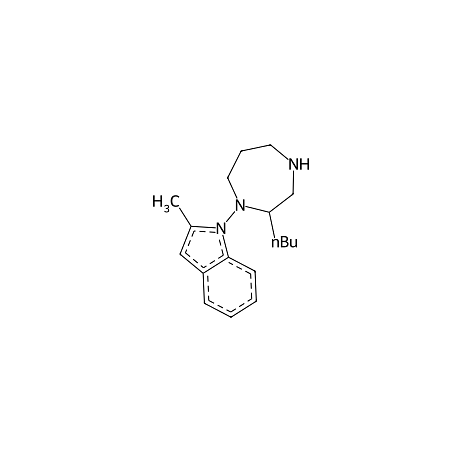 CCCCC1CNCCCN1n1c(C)cc2ccccc21